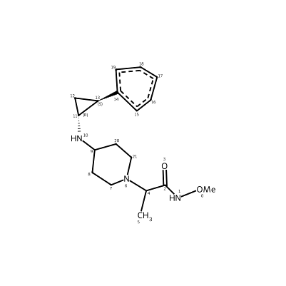 CONC(=O)C(C)N1CCC(N[C@@H]2C[C@H]2c2ccccc2)CC1